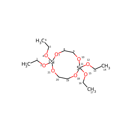 CCO[Si]1(OCC)OCCO[Si](OCC)(OCC)OCCO1